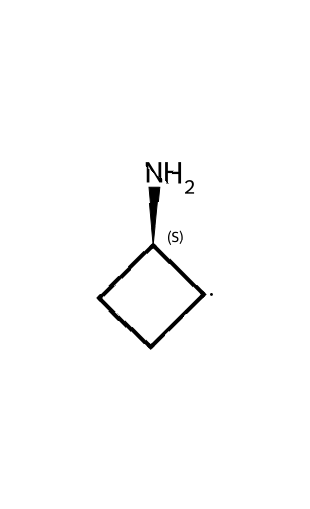 N[C@H]1[CH]CC1